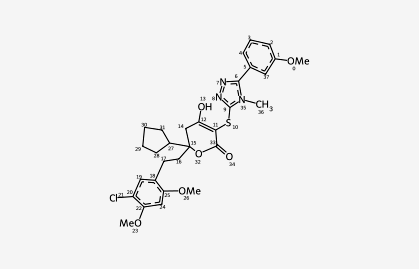 COc1cccc(-c2nnc(SC3=C(O)CC(CCc4cc(Cl)c(OC)cc4OC)(C4CCCC4)OC3=O)n2C)c1